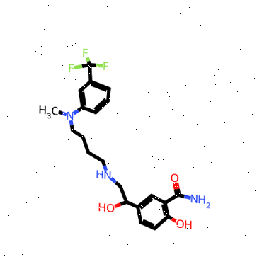 CN(CCCCNCC(O)c1ccc(O)c(C(N)=O)c1)c1cccc(C(F)(F)F)c1